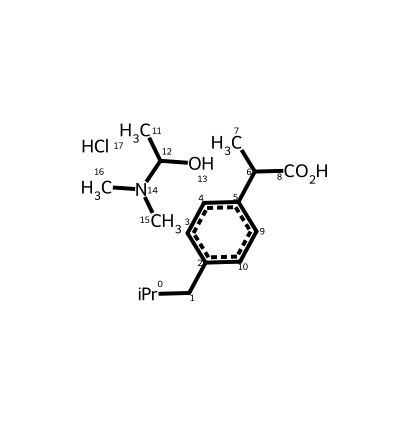 CC(C)Cc1ccc(C(C)C(=O)O)cc1.CC(O)N(C)C.Cl